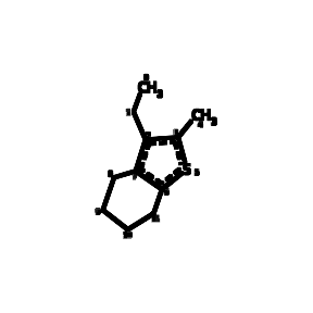 CCc1c(C)sc2c1CCCC2